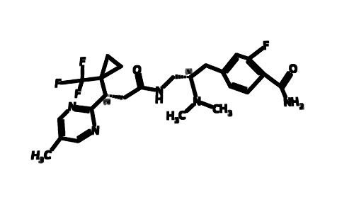 Cc1cnc([C@@H](CC(=O)NC[C@H](Cc2ccc(C(N)=O)c(F)c2)N(C)C)C2(C(F)(F)F)CC2)nc1